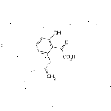 C=CCc1cccc(O)c1C(=O)C(=O)O